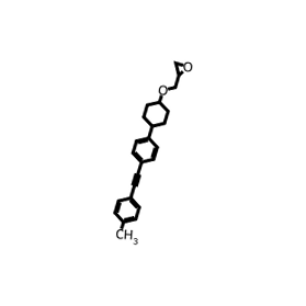 Cc1ccc(C#Cc2ccc(C3CCC(OCC4CO4)CC3)cc2)cc1